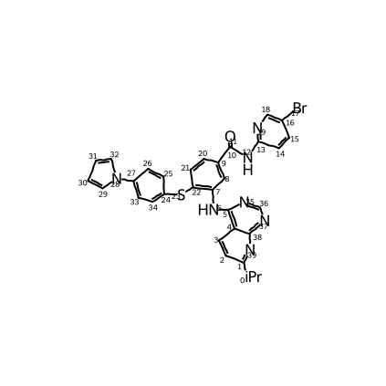 CC(C)c1ccc2c(Nc3cc(C(=O)Nc4ccc(Br)cn4)ccc3Sc3ccc(-n4cccc4)cc3)ncnc2n1